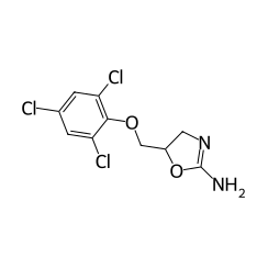 NC1=NCC(COc2c(Cl)cc(Cl)cc2Cl)O1